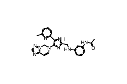 CC(=O)Nc1cccc(NCc2nc(N3C=Cc4ncnn4C3)c(-c3cccc(C)n3)[nH]2)c1